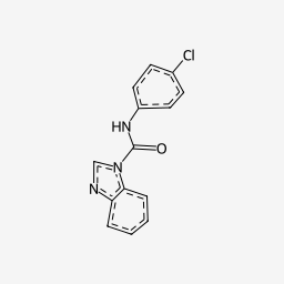 O=C(Nc1ccc(Cl)cc1)n1cnc2ccccc21